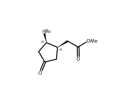 CCCC[C@@H]1CC(=O)C[C@@H]1CC(=O)OC